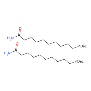 CCCCCCCCCCCCCCCCCCCC(N)=O.CCCCCCCCCCCCCCCCCCCC(N)=O